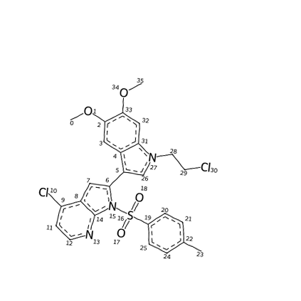 COc1cc2c(-c3cc4c(Cl)ccnc4n3S(=O)(=O)c3ccc(C)cc3)cn(CCCl)c2cc1OC